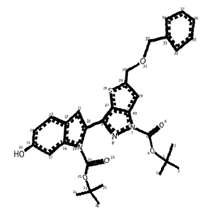 CC(C)(C)OC(=O)n1nc(-c2cc3ccc(O)cc3n2C(=O)OC(C)(C)C)c2sc(COCc3ccccc3)cc21